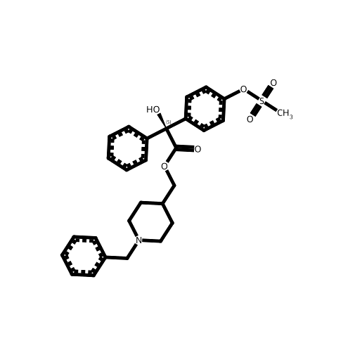 CS(=O)(=O)Oc1ccc([C@](O)(C(=O)OCC2CCN(Cc3ccccc3)CC2)c2ccccc2)cc1